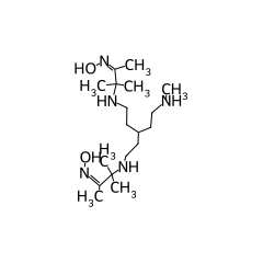 CNCCC(CCNC(C)(C)/C(C)=N\O)CCNC(C)(C)/C(C)=N\O